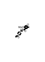 C=CC(=O)N1CCN(CCNC(=O)c2cc(I)c(Cl)cc2OC)CC1